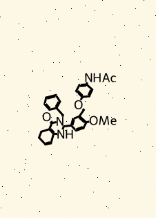 COc1ccc(C2NC3=C(CCC=C3)C(=O)N2Cc2ccccc2)cc1COc1ccc(NC(C)=O)cc1